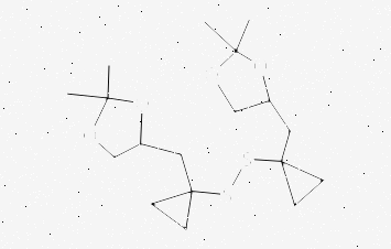 CC1(C)OCC(CC2(SSC3(CC4COC(C)(C)O4)CC3)CC2)O1